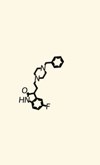 O=C1Nc2ccc(F)cc2C1CCN1CCN(Cc2ccccc2)CC1